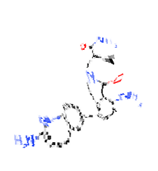 C=C(CN1Cc2c(-c3ccc4nc(N)ccc4c3)ccc(N)c2C1=O)C(N)=O